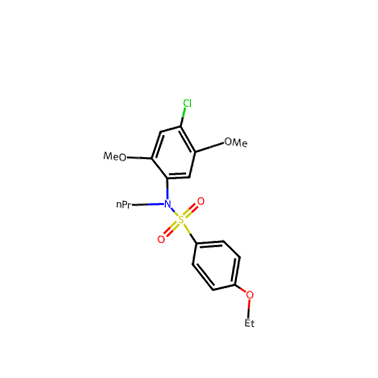 CCCN(c1cc(OC)c(Cl)cc1OC)S(=O)(=O)c1ccc(OCC)cc1